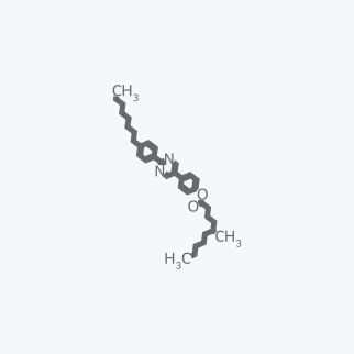 CCCCCCCCc1ccc(-c2ncc(-c3ccc(OC(=O)CCCC(C)CCCCC)cc3)cn2)cc1